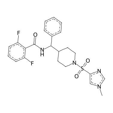 Cn1cnc(S(=O)(=O)N2CCC(C(NC(=O)c3c(F)cccc3F)c3ccccc3)CC2)c1